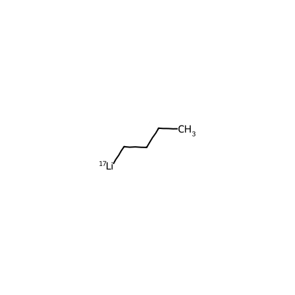 [17Li][CH2]CCC